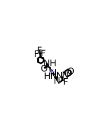 O=C(C/C=N/Nc1ncc(F)c(N2CCOCC2)n1)NC1C=C(C(F)(F)F)C=CC1